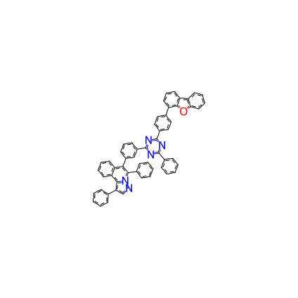 c1ccc(-c2nc(-c3ccc(-c4cccc5c4oc4ccccc45)cc3)nc(-c3cccc(-c4c(-c5ccccc5)n5ncc(-c6ccccc6)c5c5ccccc45)c3)n2)cc1